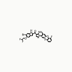 Cc1cc(Oc2c(F)cccc2F)ncc1-n1ncc(C(=O)c2cc3cc(OCC(F)F)c(Br)cc3[nH]2)c1N